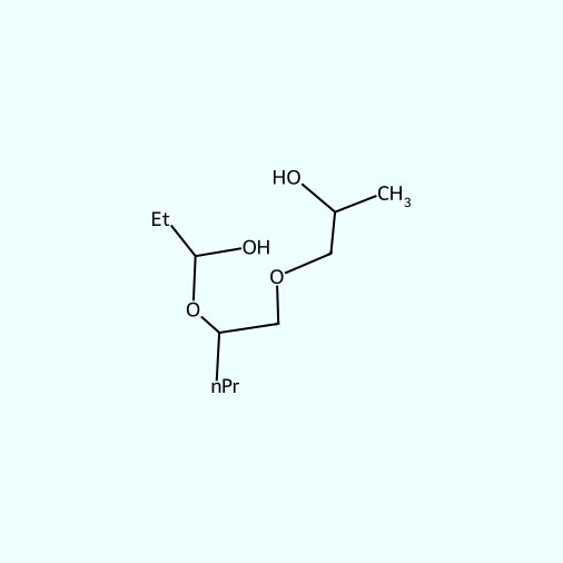 CCCC(COCC(C)O)OC(O)CC